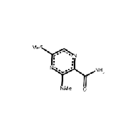 CNc1nc(SC)cnc1C(N)=O